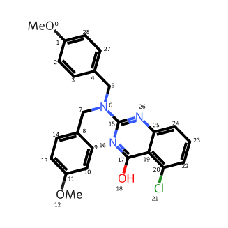 COc1ccc(CN(Cc2ccc(OC)cc2)c2nc(O)c3c(Cl)cccc3n2)cc1